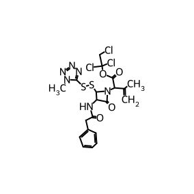 C=C(C)C(C(=O)OC(Cl)(Cl)CCl)N1C(=O)C(NC(=O)Cc2ccccc2)C1SSc1nnnn1C